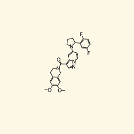 COc1cc2c(cc1OC)CN(C(=O)c1cnn3ccc(N4CCCC4c4cc(F)ccc4F)cc13)CC2